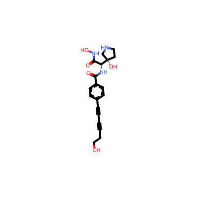 O=C(N[C@H](C(=O)NO)[C@]1(O)CCNC1)c1ccc(C#CC#CCCO)cc1